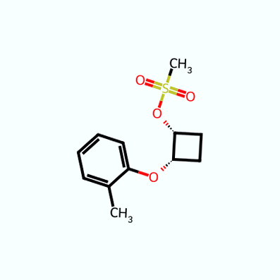 Cc1ccccc1O[C@H]1CC[C@H]1OS(C)(=O)=O